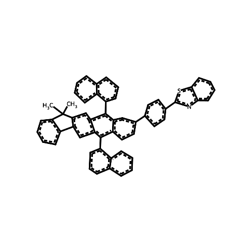 CC1(C)c2ccccc2-c2cc3c(-c4cccc5ccccc45)c4ccc(-c5ccc(-c6nc7ccccc7s6)cc5)cc4c(-c4cccc5ccccc45)c3cc21